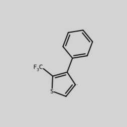 FC(F)(F)c1sc[c]c1-c1ccccc1